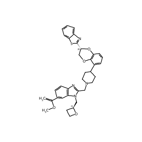 C=C(OC)c1ccc2nc(CN3CCC(c4cccc5c4OC[C@H](c4nc6ccccc6s4)O5)CC3)n(C[C@@H]3CCO3)c2c1